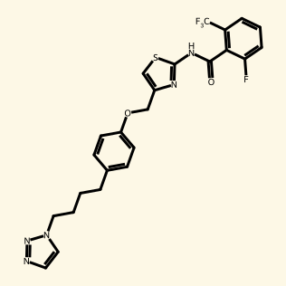 O=C(Nc1nc(COc2ccc(CCCCn3ccnn3)cc2)cs1)c1c(F)cccc1C(F)(F)F